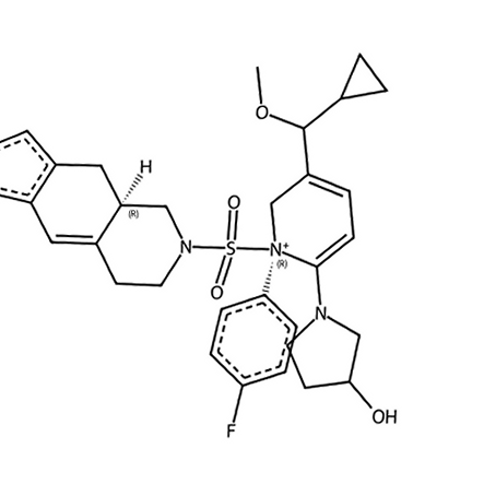 COC(C1=CC=C(N2CCC(O)C2)[N@@+](c2ccc(F)cc2)(S(=O)(=O)N2CCC3=Cc4[nH]ncc4C[C@H]3C2)C1)C1CC1